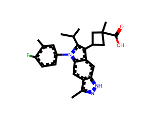 Cc1cc(-n2c(C(C)C)c(C3CC(C)(C(=O)O)C3)c3cc4[nH]nc(C)c4cc32)ccc1F